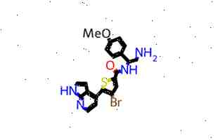 COc1ccc(C(CN)NC(=O)c2cc(Br)c(-c3ccnc4[nH]ccc34)s2)cc1